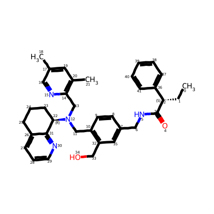 CC[C@H](C(=O)NCc1ccc(CN(Cc2ncc(C)cc2C)[C@@H]2CCCc3cccnc32)c(CO)c1)c1ccccc1